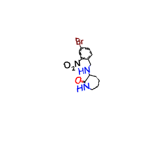 O=C1NCCCCC1NCc1ccc(Br)cc1[N+](=O)[O-]